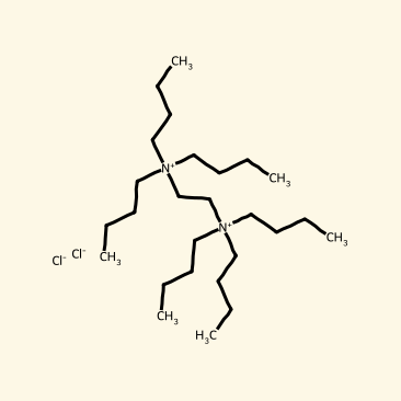 CCCC[N+](CCCC)(CCCC)CC[N+](CCCC)(CCCC)CCCC.[Cl-].[Cl-]